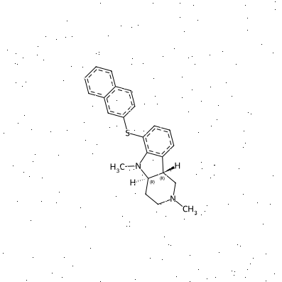 CN1CC[C@@H]2[C@@H](C1)c1cccc(Sc3ccc4ccccc4c3)c1N2C